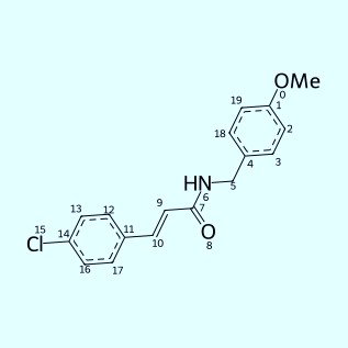 COc1ccc(CNC(=O)C=Cc2ccc(Cl)cc2)cc1